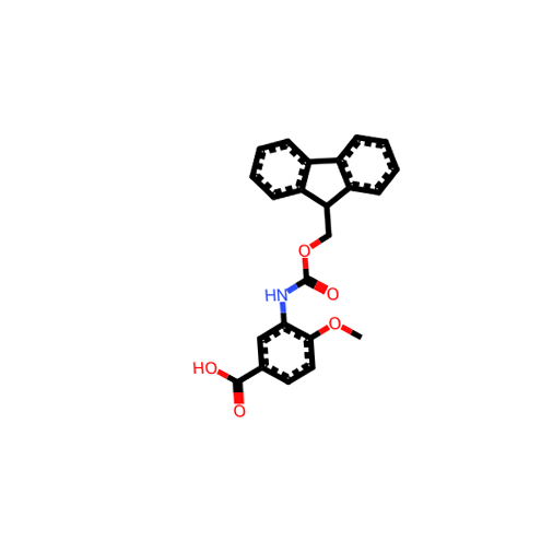 COc1ccc(C(=O)O)cc1NC(=O)OCC1c2ccccc2-c2ccccc21